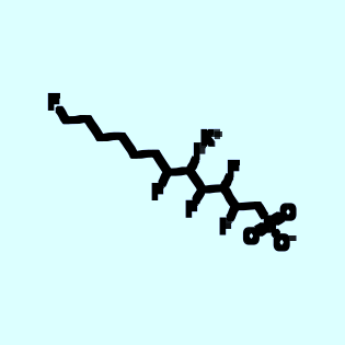 O=S(=O)([O-])CC(F)C(F)C(F)C(F)C(F)CCCCCCF.[K+]